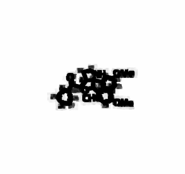 COc1ccc(C(OC=O)C2(c3cccc(OC)c3)NCCC2CC(=O)c2ccccc2)cc1